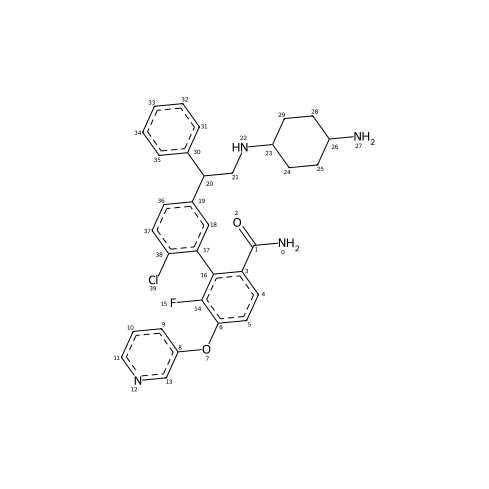 NC(=O)c1ccc(Oc2cccnc2)c(F)c1-c1cc(C(CNC2CCC(N)CC2)c2ccccc2)ccc1Cl